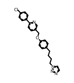 Clc1ccc(-c2ccc(COc3ccc(CCCCn4ccnn4)cc3)cn2)cc1